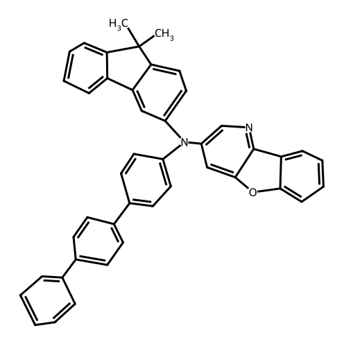 CC1(C)c2ccccc2-c2cc(N(c3ccc(-c4ccc(-c5ccccc5)cc4)cc3)c3cnc4c(c3)oc3ccccc34)ccc21